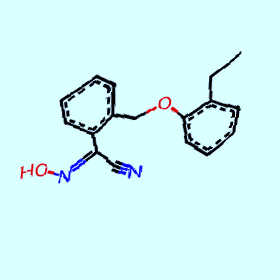 CCc1ccccc1OCc1ccccc1/C(C#N)=N\O